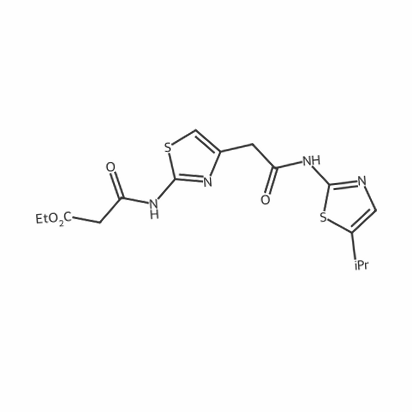 CCOC(=O)CC(=O)Nc1nc(CC(=O)Nc2ncc(C(C)C)s2)cs1